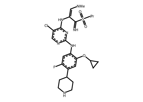 CN/C=C(/Nc1nc(Nc2cc(F)c(C3CCNCC3)cc2OC2CC2)ncc1Cl)C(=N)S(=O)(=O)C(C)C